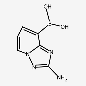 Nc1nc2c(B(O)O)cccn2n1